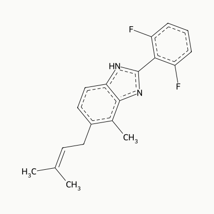 CC(C)=CCc1ccc2[nH]c(-c3c(F)cccc3F)nc2c1C